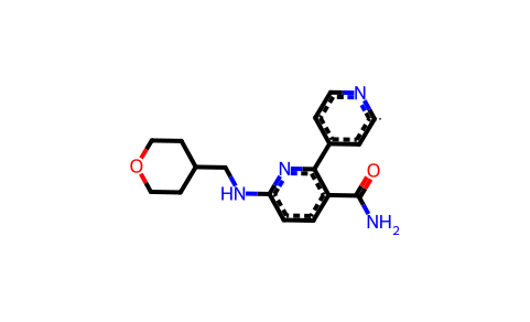 NC(=O)c1ccc(NCC2CCOCC2)nc1-c1c[c]ncc1